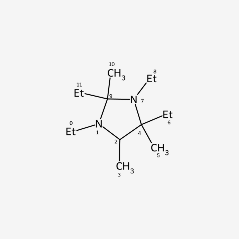 CCN1C(C)C(C)(CC)N(CC)C1(C)CC